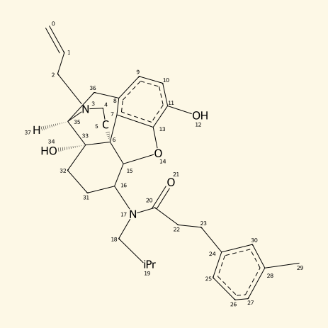 C=CCN1CC[C@]23c4c5ccc(O)c4OC2C(N(CC(C)C)C(=O)CCc2cccc(C)c2)CC[C@@]3(O)[C@H]1C5